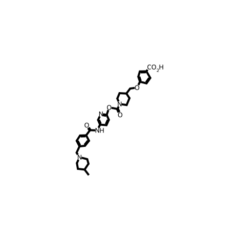 CC1CCN(Cc2ccc(C(=O)Nc3ccc(OC(=O)N4CCC(COc5ccc(C(=O)O)cc5)CC4)nc3)cc2)CC1